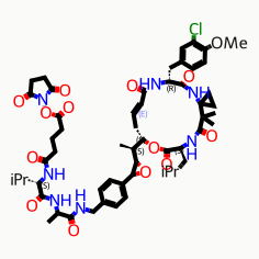 COc1ccc(C[C@H]2NC(=O)/C=C/C[C@@H]([C@H](C)C3OC3c3ccc(CNC(=O)C(C)NC(=O)[C@@H](NC(=O)CCCC(=O)ON4C(=O)CCC4=O)C(C)C)cc3)OC(=O)[C@H](CC(C)C)NC(=O)C(C)(C)C3(CC3)NC2=O)cc1Cl